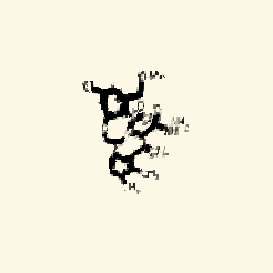 COCc1cc(Cl)cc2c1S(=O)(=O)N([C@H](C(=O)NN)C(C)c1c(F)ccc(C)c1C)CCO2